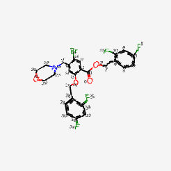 O=C(OCc1ccc(F)cc1F)c1cc(Br)c(CN2CCOCC2)cc1OCc1ccc(F)cc1F